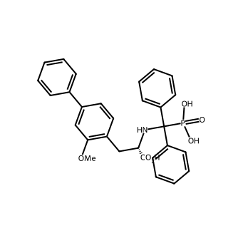 COc1cc(-c2ccccc2)ccc1C[C@H](NC(c1ccccc1)(c1ccccc1)P(=O)(O)O)C(=O)O